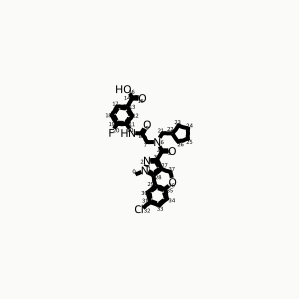 Cn1nc(C(=O)N(CC(=O)Nc2cc(C(=O)O)ccc2F)CC2CCCC2)c2c1-c1cc(Cl)ccc1OC2